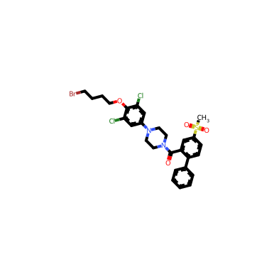 CS(=O)(=O)c1ccc(-c2ccccc2)c(C(=O)N2CCN(c3cc(Cl)c(OCCCCBr)c(Cl)c3)CC2)c1